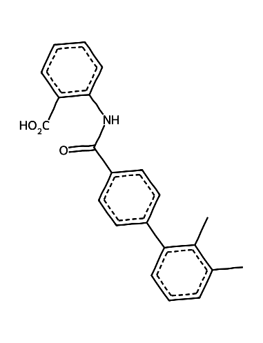 Cc1cccc(-c2ccc(C(=O)Nc3ccccc3C(=O)O)cc2)c1C